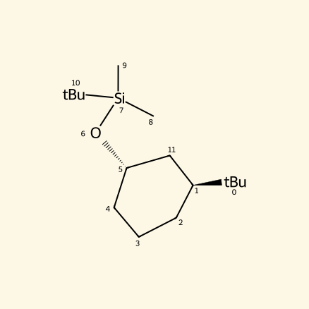 CC(C)(C)[C@H]1CCC[C@H](O[Si](C)(C)C(C)(C)C)C1